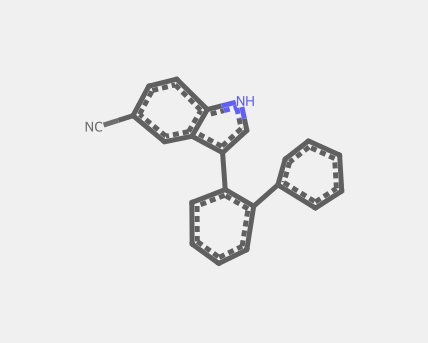 N#Cc1ccc2[nH]cc(-c3ccccc3-c3ccccc3)c2c1